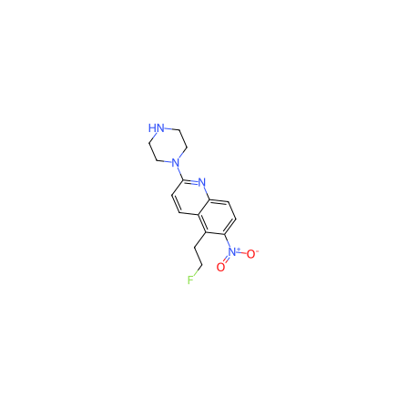 O=[N+]([O-])c1ccc2nc(N3CCNCC3)ccc2c1CCF